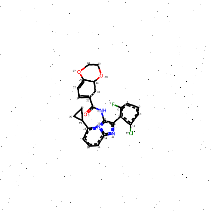 O=C(Nc1c(-c2c(F)cccc2Cl)nc2cccc(C3CC3)n12)C1=CC=C2OCCOC2C1